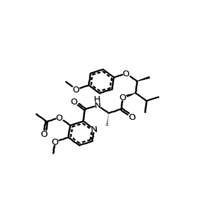 COc1ccc(O[C@@H](C)[C@H](OC(=O)[C@H](C)NC(=O)c2nccc(OC)c2OC(C)=O)C(C)C)cc1